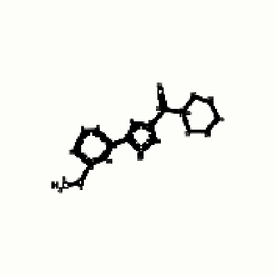 COc1cccc(-c2cc(C(=O)N3CCCCC3)cs2)c1